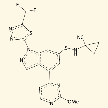 COc1nccc(-c2cc(SNC3(C#N)CC3)cc3c2cnn3-c2nnc(C(F)F)s2)n1